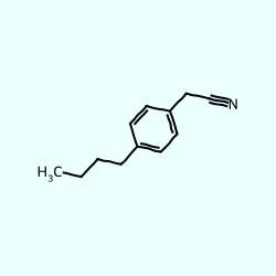 CCCCc1ccc(CC#N)cc1